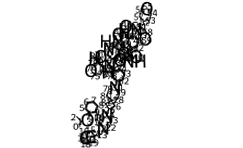 CC(C)Oc1ccccc1[C@@H]1CN(CC23CCC(CC2)CC3)CCN1C1CC2(CCN(c3ccc(C(=O)NS(=O)(=O)c4cc5c(c([N+](=O)[O-])c4)N[C@H](C4CCOCC4)CO5)c(N4c5cc6cc[nH]c6nc5O[C@H]5COCC[C@@H]54)c3)CC2)C1